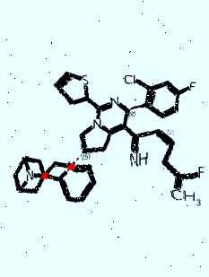 CC(F)C/C=C\C(=N)C1=C2C[C@H](CCCN3C4CC(c5ccccn5)CC3C4)CN2C(C2CC=CS2)=N[C@H]1c1ccc(F)cc1Cl